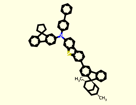 C[C@@H]1CC2CC(C1)[C@@]1(c3ccccc3-c3cc(-c4ccc5c(c4)sc4cc(N(c6ccc(-c7ccccc7)cc6)c6ccc7c(c6)C6(CCCC6)c6ccccc6-7)ccc45)ccc31)[C@@H](C)C2